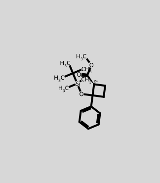 COC(=O)[C@H]1CCC1(O[Si](C)(C)C(C)(C)C)c1ccccc1